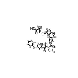 CC(NC(=O)[C@H]1C[C@H](Cc2ccccc2)CN1)C(=O)NCc1cnc2scc(Cl)c2c1.O=C(O)C(F)(F)F